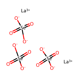 O=[Se](=O)([O-])[O-].O=[Se](=O)([O-])[O-].O=[Se](=O)([O-])[O-].[La+3].[La+3]